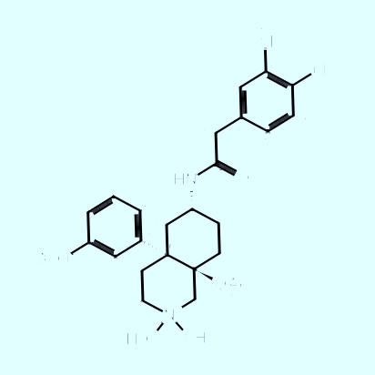 CC(=O)Oc1cccc([C@@]23CC[N+](C)(C)C[C@@]2(OC(C)=O)CC[C@@H](NC(=O)Cc2ccc(Cl)c(Cl)c2)C3)c1